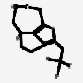 FC(F)(F)Cc1sc2c3c1CC[C@H]3CNCC2